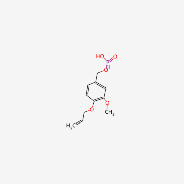 C=CCOc1ccc(CO[PH](=O)O)cc1OC